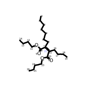 CCCCCCC/C(C(=O)OCCCC)=C(\CCCC)C(=O)OCCCC